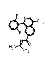 Cc1cnc(-c2c(F)cccc2F)c2cc(C(=O)N=C(N)N)ccc12